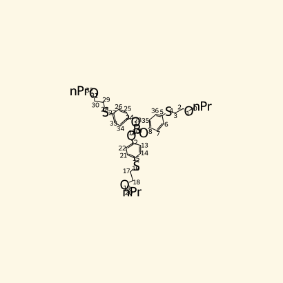 CCCOCCSc1ccc(OB(Oc2ccc(SCCOCCC)cc2)Oc2ccc(SCCOCCC)cc2)cc1